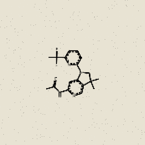 CC(=O)Nc1cc2c(cn1)C(C)(C)CN2c1cccc(C(C)(F)F)n1